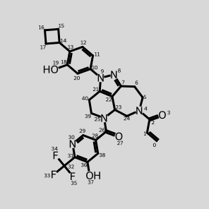 C=CC(=O)N1CCc2nn(-c3ccc(C4CCC4)c(O)c3)c3c2C(C1)N(C(=O)c1cnc(C(F)(F)F)c(O)c1)CC3